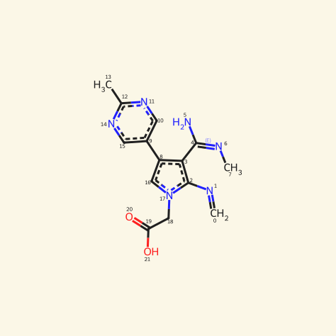 C=Nc1c(/C(N)=N\C)c(-c2cnc(C)nc2)cn1CC(=O)O